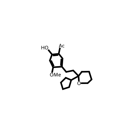 COc1cc(O)c(C(C)=O)cc1CCC1(C2CCCC2)CCCCO1